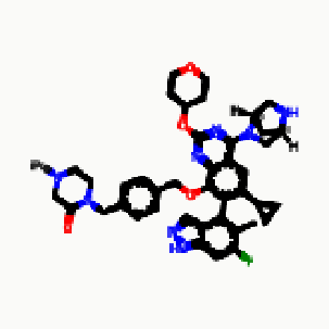 Cc1c(F)cc2[nH]ncc2c1-c1c(C2CC2)cc2c(N3C[C@@H]4C[C@H]3CN4)nc(OC3CCOCC3)nc2c1OCc1ccc(CN2CCN(C(C)C)CC2=O)cc1